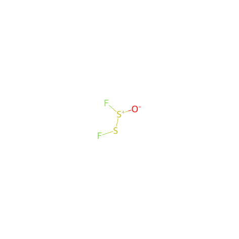 [O-][S+](F)SF